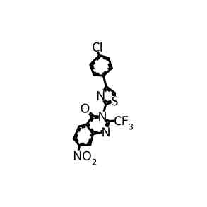 O=c1c2ccc([N+](=O)[O-])cc2nc(C(F)(F)F)n1-c1nc(-c2ccc(Cl)cc2)cs1